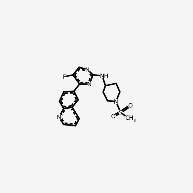 CS(=O)(=O)N1CCC(Nc2ncc(F)c(-c3ccc4ncccc4c3)n2)CC1